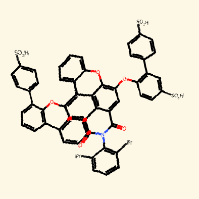 CC(C)c1cccc(C(C)C)c1-n1c(=O)c2cc(Oc3ccc(S(=O)(=O)O)cc3-c3ccc(S(=O)(=O)O)cc3)c3oc4ccccc4c4c(Oc5c(-c6ccccc6)cccc5-c5ccc(S(=O)(=O)O)cc5)cc(c1=O)c2c34